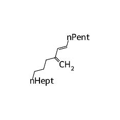 C=C(/C=C/CCCCC)CCCCCCCCCC